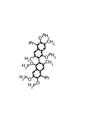 Cc1cc2c(OP)c(-c3c(C)cc4c(C(C)C)c(OP)c(OP)cc4c3OP)c(C)cc2c(C(C)C)c1OP